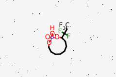 O=P1(O)OCCCCCCCC(C(F)(F)CC(F)(F)F)O1